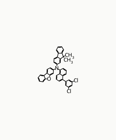 CC1(C)c2ccccc2-c2ccc(N(c3ccc4c(c3)oc3ccccc34)c3cccc4c(-c5cc(Cl)cc(Cl)c5)cccc34)cc21